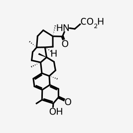 CC1=C(O)C(=O)C=C2C1=CC=C1[C@@]2(C)CC[C@@]2(C)[C@@H]3C[C@](C)(C(=O)NCC(=O)O)CC[C@]3(C)CC[C@]12C